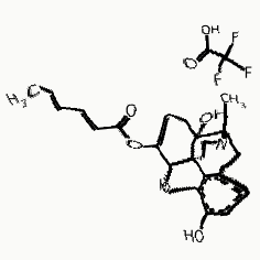 CC=CC=CC(=O)OC1=CC[C@]2(O)C3Cc4ccc(O)c5c4[C@@]2(CCN3C)[C@H]1O5.O=C(O)C(F)(F)F